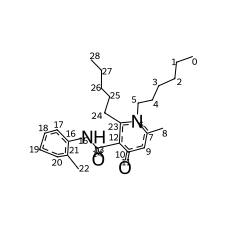 CCCCCCn1c(C)cc(=O)c(C(=O)Nc2ccccc2C)c1CCCCC